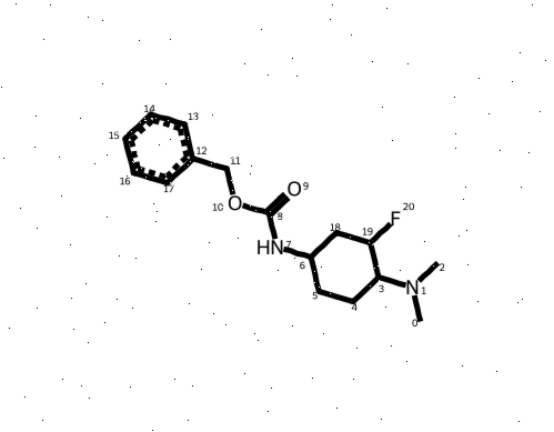 CN(C)C1CCC(NC(=O)OCc2ccccc2)CC1F